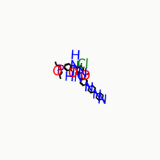 CCCP(=O)(CCC)c1ccc(Nc2nc(Nc3ccc(N4CCC(N5CCN(C)CC5)CC4)cc3OC)ncc2Cl)c(OC)c1